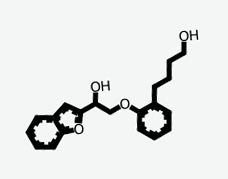 OCCCCc1ccccc1OCC(O)c1cc2ccccc2o1